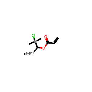 C=CC(=O)OC(CCCCC)[Si](C)(C)Cl